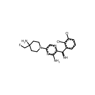 N=C(c1cccc(Cl)c1Cl)c1ncc(N2CCC(N)(CF)CC2)nc1N